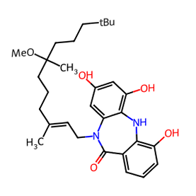 COC(C)(CCC/C(C)=C/CN1C(=O)c2cccc(O)c2Nc2c(O)cc(O)cc21)CCCC(C)(C)C